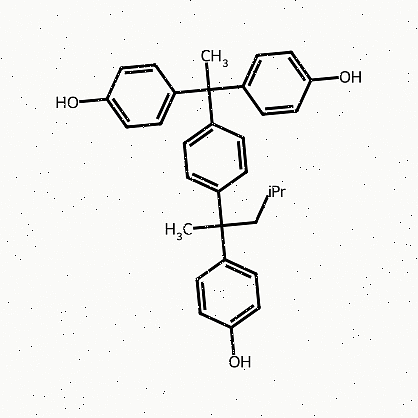 CC(C)CC(C)(c1ccc(O)cc1)c1ccc(C(C)(c2ccc(O)cc2)c2ccc(O)cc2)cc1